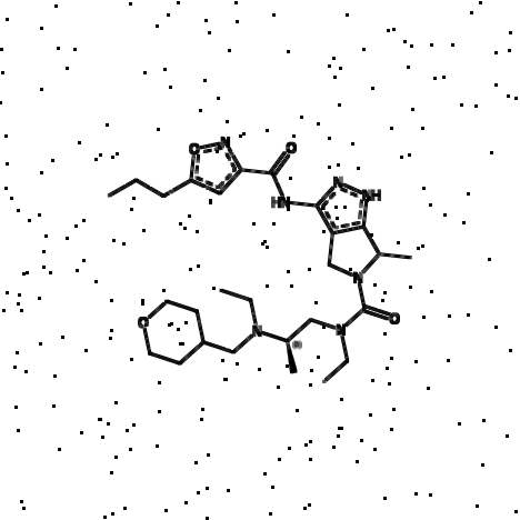 CCCc1cc(C(=O)Nc2n[nH]c3c2CN(C(=O)N(CC)C[C@@H](C)N(CC)CC2CCOCC2)C3C)no1